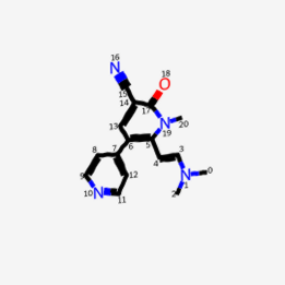 CN(C)C=Cc1c(-c2ccncc2)cc(C#N)c(=O)n1C